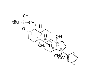 CO[C@]1(c2ccoc2)CC[C@]2(O)[C@@H]3CC[C@@H]4C[C@@H](O[Si](C)(C)C(C)(C)C)CC[C@]4(C)[C@H]3CC[C@]12C